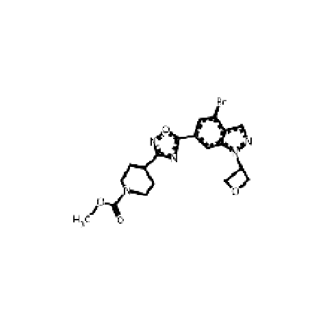 COC(=O)N1CCC(c2noc(-c3cc(Br)c4cnn(C5COC5)c4c3)n2)CC1